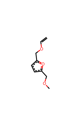 C=COCc1ccc(COC)o1